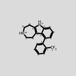 FC(F)(F)c1ccccc1-c1cccc2[nH]c3c(c12)CCNCC3